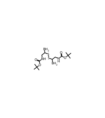 BC(CNC(=O)OC(C)(C)C)SSC(B)CNC(=O)OC(C)(C)C